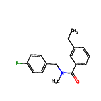 CCc1cccc(C(=O)N(C)Cc2ccc(F)cc2)c1